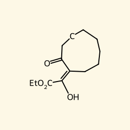 CCOC(=O)/C(O)=C1/CCCCCCCC1=O